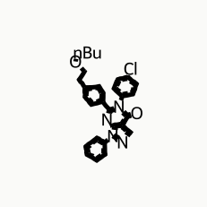 CCCCOCCc1ccc(-c2nc3c(cnn3-c3ccccc3)c(=O)n2-c2ccc(Cl)cc2)cc1